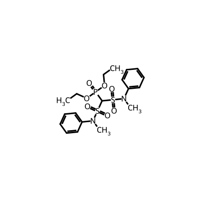 CCOP(=O)(OCC)C(S(=O)(=O)N(C)c1ccccc1)S(=O)(=O)N(C)c1ccccc1